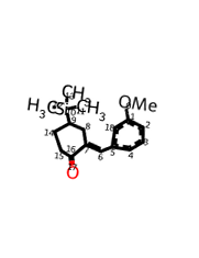 COc1cccc(C=C2CC([Si](C)(C)C)CCC2=O)c1